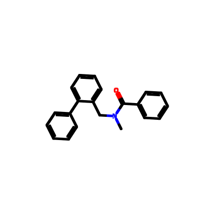 CN(Cc1ccccc1-c1ccccc1)C(=O)c1ccccc1